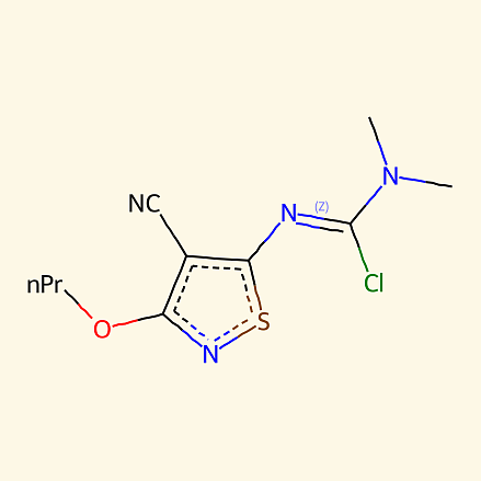 CCCOc1nsc(/N=C(\Cl)N(C)C)c1C#N